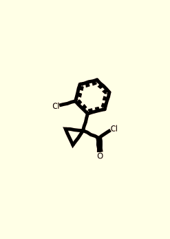 O=C(Cl)C1(c2ccccc2Cl)CC1